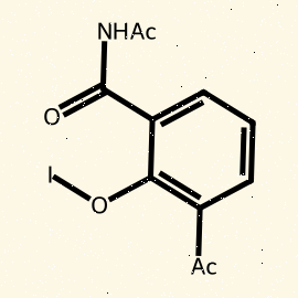 CC(=O)NC(=O)c1cccc(C(C)=O)c1OI